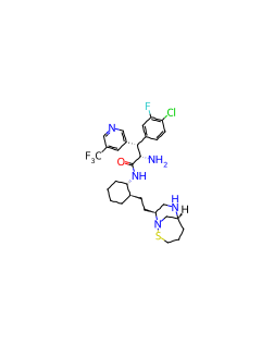 N[C@H](C(=O)N[C@H]1CCCC[C@@H]1CC[C@H]1CN[C@@H]2CCCSN1C2)[C@H](c1cncc(C(F)(F)F)c1)c1ccc(Cl)c(F)c1